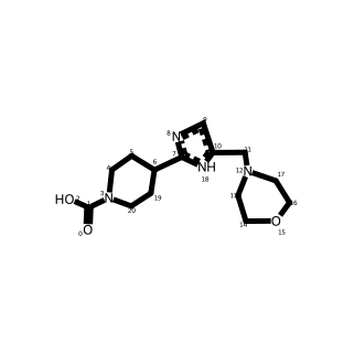 O=C(O)N1CCC(c2ncc(CN3CCOCC3)[nH]2)CC1